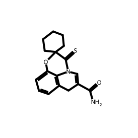 NC(=O)C1=CN2C(=S)C3(CCCCC3)Oc3cccc(c32)C1